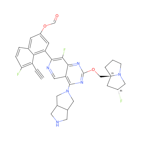 C#Cc1c(F)ccc2cc(OC=O)cc(-c3ncc4c(N5CC6CNCC6C5)nc(OC[C@@]56CCCN5C[C@H](F)C6)nc4c3F)c12